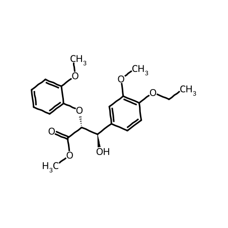 CCOc1ccc([C@@H](O)[C@@H](Oc2ccccc2OC)C(=O)OC)cc1OC